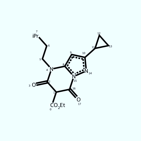 CCOC(=O)C1C(=O)N(CCC(C)C)c2cc(C3CC3)nn2C1=O